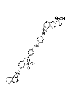 O=S(=O)(O)c1ccc2c(ccc3c2n2n(-c4ccc(N=Nc5ccc(C=Cc6ccc(-n7n8c9ccc%10ccccc%10c9n78)cc6S(=O)(=O)O)cc5)cc4)n32)c1